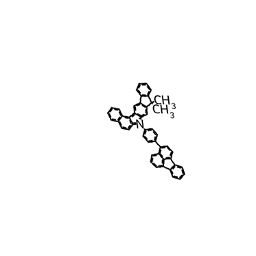 CC1(C)c2ccccc2-c2cc3c4c5ccccc5ccc4n(-c4ccc(-c5ccc6c7c(cccc57)-c5ccccc5-6)cc4)c3cc21